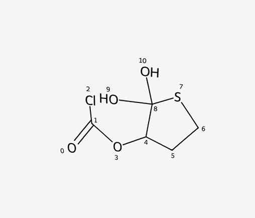 O=C(Cl)OC1CCSC1(O)O